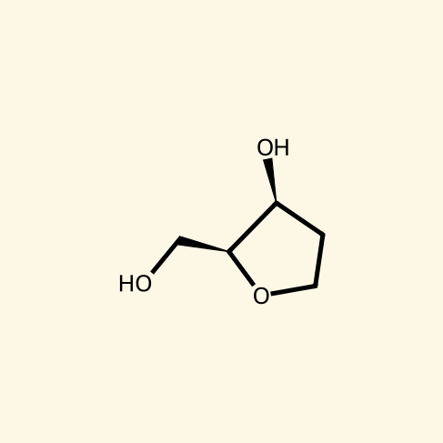 OC[C@@H]1OCC[C@@H]1O